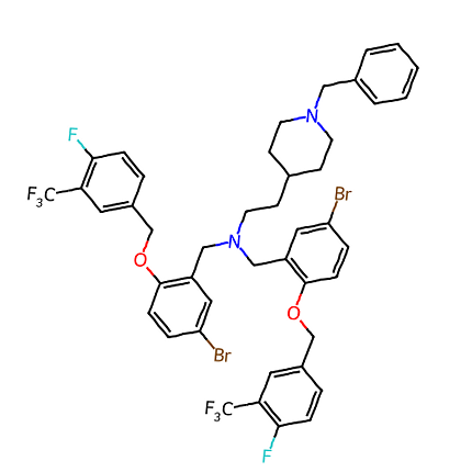 Fc1ccc(COc2ccc(Br)cc2CN(CCC2CCN(Cc3ccccc3)CC2)Cc2cc(Br)ccc2OCc2ccc(F)c(C(F)(F)F)c2)cc1C(F)(F)F